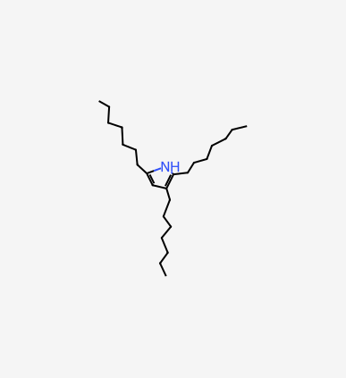 CCCCCCCc1cc(CCCCCCC)c(CCCCCCC)[nH]1